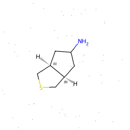 NC1C[C@H]2CSC[C@H]2C1